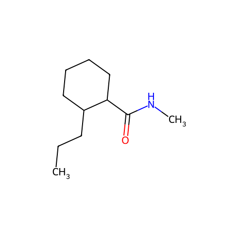 CCCC1CCCCC1C(=O)NC